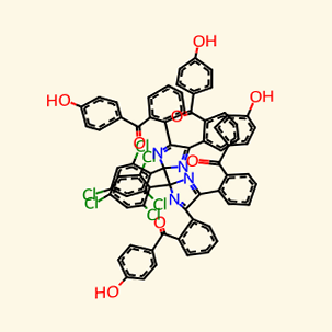 O=C(c1ccc(O)cc1)c1ccccc1C1=NC(c2c(Cl)cc(Cl)cc2Cl)(C2(c3c(Cl)cc(Cl)cc3Cl)N=C(c3ccccc3C(=O)c3ccc(O)cc3)C(c3ccccc3C(=O)c3ccc(O)cc3)=N2)N=C1c1ccccc1C(=O)c1ccc(O)cc1